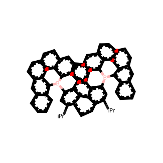 CC(C)c1cc(B(c2c3ccccc3cc3ccccc23)c2c3ccccc3cc3ccccc23)c2ccc3c(B(c4c5ccccc5cc5ccccc45)c4c5ccccc5cc5ccccc45)cc(C(C)C)c4ccc1c2c34